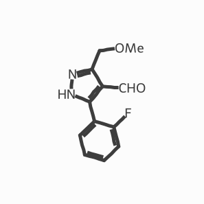 COCc1n[nH]c(-c2ccccc2F)c1C=O